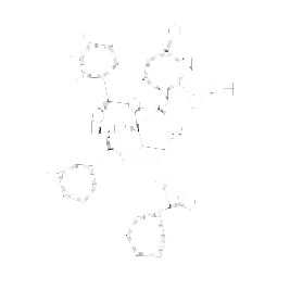 CSc1nc(=O)ccn1[C@@H]1O[C@H](COC(=O)c2ccccc2)C(OC(=O)c2ccccc2)[C@@]1(C)OC(=O)c1ccccc1